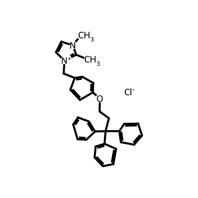 Cc1n(C)cc[n+]1Cc1ccc(OCCC(c2ccccc2)(c2ccccc2)c2ccccc2)cc1.[Cl-]